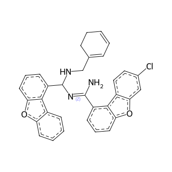 N/C(=N\C(NCC1=CC=CCC1)c1cccc2oc3ccccc3c12)c1cccc2oc3cc(Cl)ccc3c12